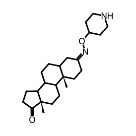 C[C@]12CC/C(=N/OC3CCNCC3)CC1CCC1C2CC[C@]2(C)C(=O)CCC12